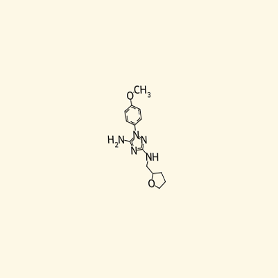 COc1ccc(-n2nc(NCC3CCCO3)nc2N)cc1